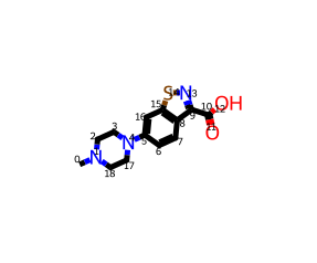 CN1CCN(c2ccc3c(C(=O)O)nsc3c2)CC1